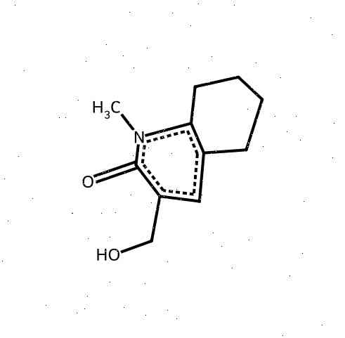 Cn1c2c(cc(CO)c1=O)CCCC2